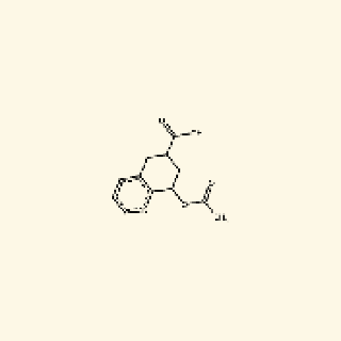 CC(=O)OC1CC(C(=O)O)Cc2cccnc21